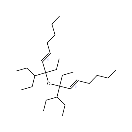 CCCC/C=C/C(CC)(OC(/C=C/CCCC)(CC)C(CC)CC)C(CC)CC